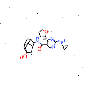 O=C(NC1C2CC3CC1CC(O)(C3)C2)c1cnc(NC2CC2)nc1[C@@H]1CCCO1